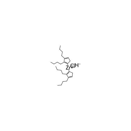 CCCCC1=CC[C]([Zr+2][C]2=C(CCCC)C(CCCC)=CC2)=C1CCCC.[Cl-].[H-]